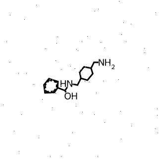 NCC1CCC(CNC(O)c2ccccc2)CC1